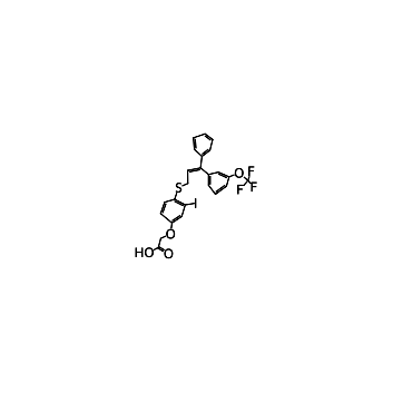 O=C(O)COc1ccc(SCC=C(c2ccccc2)c2cccc(OC(F)(F)F)c2)c(I)c1